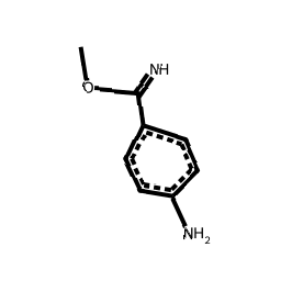 COC(=N)c1ccc(N)cc1